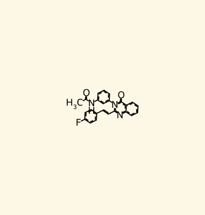 CC(=O)Nc1cccc(-n2c(/C=C/c3ccc(F)cc3)nc3ccccc3c2=O)c1